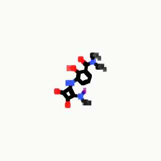 CCC(C)N(I)c1c(Nc2cccc(C(=O)N(C)C)c2O)c(=O)c1=O